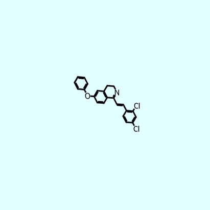 Clc1ccc(C=CC2=NCCc3cc(Oc4ccccc4)ccc32)c(Cl)c1